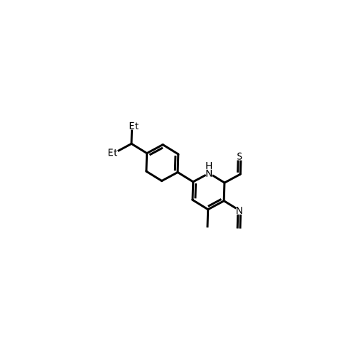 C=NC1=C(C)C=C(C2=CC=C(C(CC)CC)CC2)NC1C=S